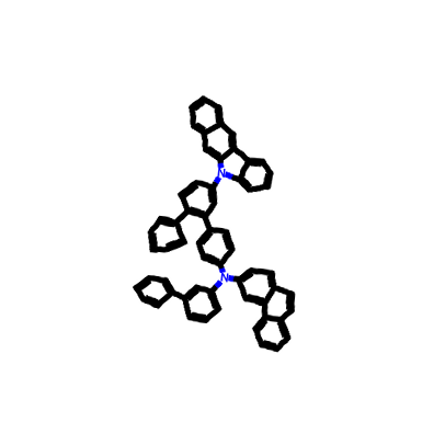 c1ccc(-c2cccc(N(c3ccc(-c4cc(-n5c6ccccc6c6cc7ccccc7cc65)ccc4-c4ccccc4)cc3)c3ccc4ccc5ccccc5c4c3)c2)cc1